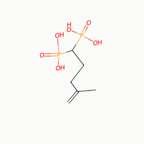 C=C(C)CCC(P(=O)(O)O)P(=O)(O)O